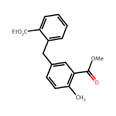 CCOC(=O)c1ccccc1Cc1ccc(C)c(C(=O)OC)c1